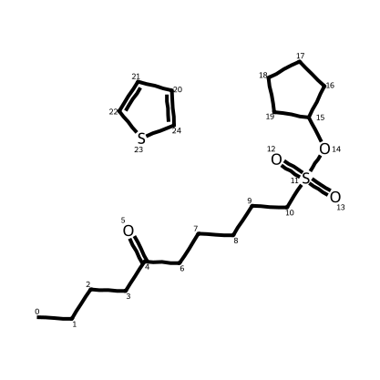 CCCCC(=O)CCCCCS(=O)(=O)OC1CCCC1.c1ccsc1